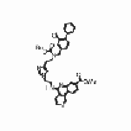 COC(=O)c1ccc2c(c1)nc(NCCn1cnc(CCN(Cc3ccc(-c4ccccc4)c(Cl)c3)C(=O)OC(C)(C)C)c1)c1ccncc12